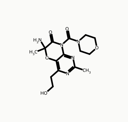 Cc1nc(CCO)c2c(n1)N(C(=O)N1CCOCC1)C(=O)C(C)(N)O2